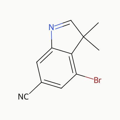 CC1(C)C=Nc2cc(C#N)cc(Br)c21